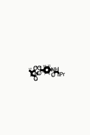 CC(C)CC(=O)Nc1ccc(C(=O)ON2C(=O)CC(C)C2=O)cc1